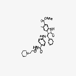 COC(=O)c1cc2c(cc1C)C(=C(Nc1ccc(C(=O)NOCCN3CCCCC3)cc1)c1ccccc1)C(=O)N2